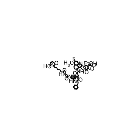 CC[C@@]1(O)C(=O)OCc2c1cc1n(c2=O)Cc2c-1nc1cc(F)c(C)c3c1c2[C@@H](NC(=O)CNC(=O)[C@H](Cc1ccccc1)NC(=O)CNC(=O)CNC(=O)CCCCCN1C(=O)C=CC1O)CC3